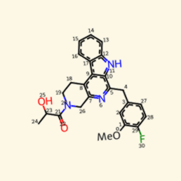 COc1cc(Cc2nc3c(c4c2[nH]c2ccccc24)CCN(C(=O)C(C)O)C3)ccc1F